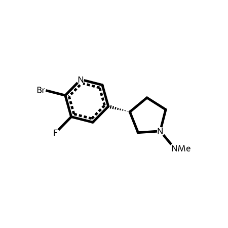 CNN1CC[C@@H](c2cnc(Br)c(F)c2)C1